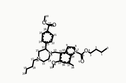 CCCCOC(=O)n1ccc2c(CN3CCN(CCCC)CC3c3ccc(C(=O)OC)cc3)c(OC)cc(C)c21